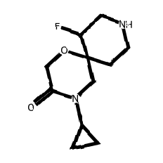 O=C1COC2(CCNCC2F)CN1C1CC1